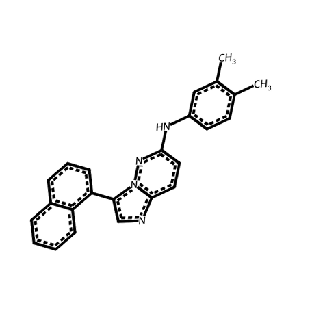 Cc1ccc(Nc2ccc3ncc(-c4cccc5ccccc45)n3n2)cc1C